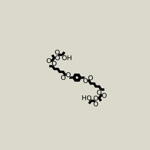 CC(CCCCC(=O)OCc1ccc(COC(=O)CCCCC(C)OC(=O)C(C)OC(=O)C(C)O)cc1)OC(=O)C(C)OC(=O)C(C)O